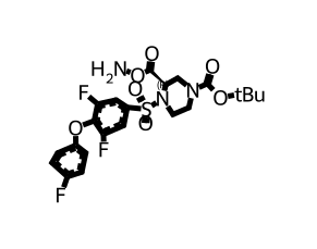 CC(C)(C)OC(=O)N1CCN(S(=O)(=O)c2cc(F)c(Oc3ccc(F)cc3)c(F)c2)[C@@H](C(=O)ON)C1